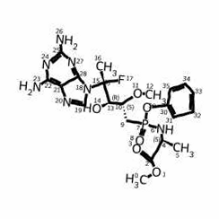 COC(=O)[C@H](C)NP(=O)(C[C@@H](OC)[C@@H](O)[C@@](C)(F)n1cnc2c(N)nc(N)nc21)Oc1ccccc1